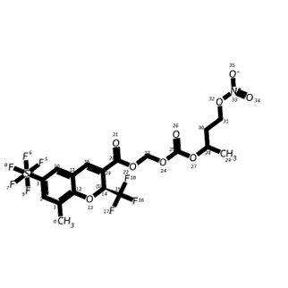 Cc1cc(S(F)(F)(F)(F)F)cc2c1O[C@H](C(F)(F)F)C(C(=O)OCOC(=O)OC(C)CCO[N+](=O)[O-])=C2